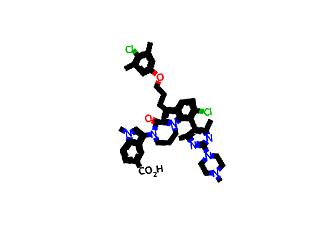 Cc1cc(OCCCc2c3n(c4c(-c5c(C)nc(N6CCN(C)CC6)nc5C)c(Cl)ccc24)CCCN(c2cn(C)c4ccc(C(=O)O)cc24)C3=O)cc(C)c1Cl